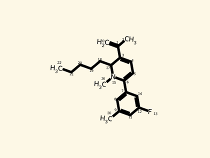 C=C(C)C1=CC=C(c2cc(C)cc(F)c2)N(C)C1CCCCC